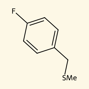 [CH]SCc1ccc(F)cc1